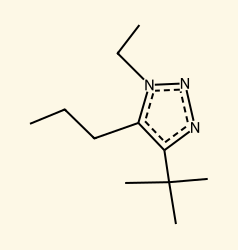 CCCc1c(C(C)(C)C)nnn1CC